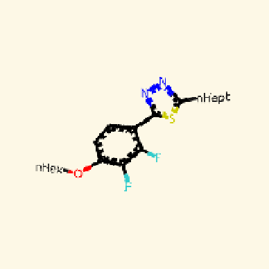 CCCCCCCc1nnc(-c2ccc(OCCCCCC)c(F)c2F)s1